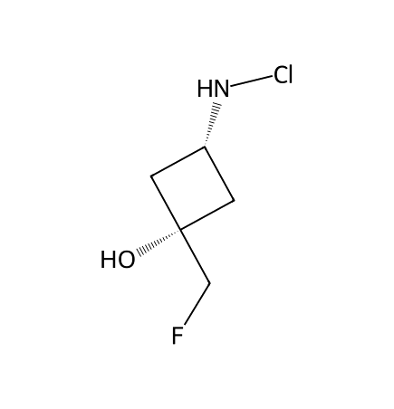 O[C@]1(CF)C[C@H](NCl)C1